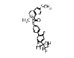 CSc1ccc2c(c1)CCN(C)C2C(=O)Nc1ccc(-c2ccc(C(O)(C(F)(F)F)C(F)(F)F)cc2F)cc1